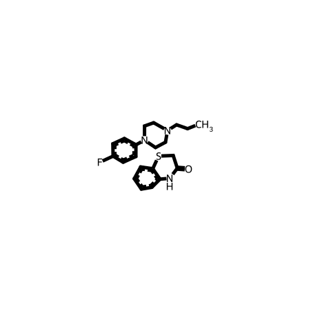 CCCN1CCN(c2ccc(F)cc2)CC1.O=C1CSc2ccccc2N1